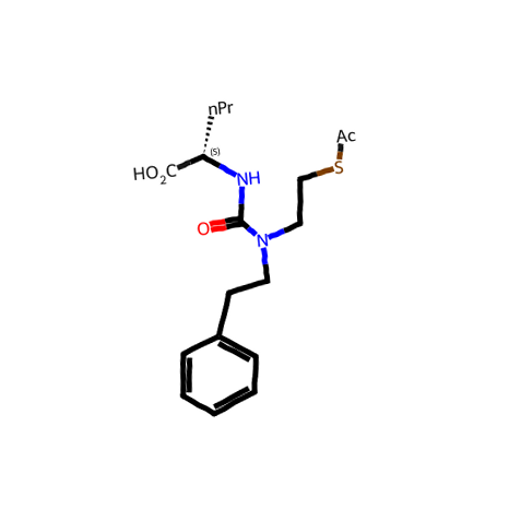 CCC[C@H](NC(=O)N(CCSC(C)=O)CCc1ccccc1)C(=O)O